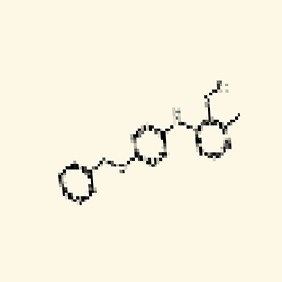 CCNc1c(C)ccnc1Nc1ccc(OCc2ccccc2)cc1